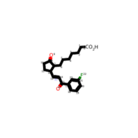 O=C(O)CCCCCCC1C(=O)CCC1/C=C/C(=O)c1cccc(F)c1